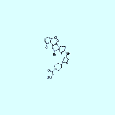 CC(C)(C)OC(=O)N1CCC(n2cc(Nc3ncc4c(=O)n(-c5c(Cl)cccc5Cl)cc(Br)c4n3)cn2)CC1